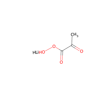 CC(=O)C(=O)OO.[LiH]